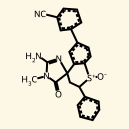 CN1C(=O)C2(CC(c3ccccc3)[S+]([O-])c3ccc(-c4cccc(C#N)c4)cc32)N=C1N